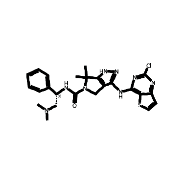 CN(C)C[C@@H](NC(=O)N1Cc2c(Nc3nc(Cl)nc4ccsc34)n[nH]c2C1(C)C)c1ccccc1